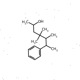 CC(O)CC(C)(C)C(C)C(C)c1ccccc1